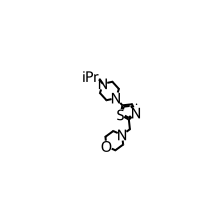 CC(C)N1CCN(c2[c]nc(CN3CCOCC3)s2)CC1